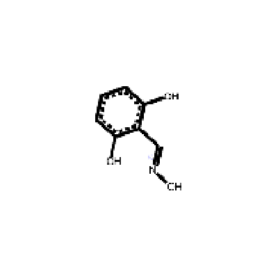 O/N=C/c1c(O)cccc1O